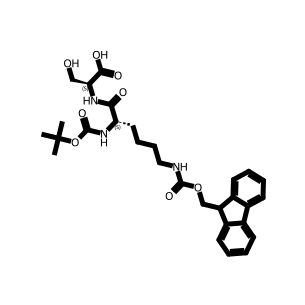 CC(C)(C)OC(=O)N[C@@H](CCCCNC(=O)OCC1c2ccccc2-c2ccccc21)C(=O)N[C@@H](CO)C(=O)O